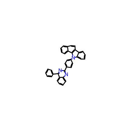 c1ccc(-c2nc(-c3ccc(-n4c5ccccc5c5ccc6ccccc6c54)cc3)nc3ccccc23)cc1